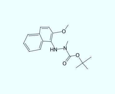 COc1ccc2ccccc2c1NN(C)C(=O)OC(C)(C)C